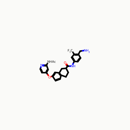 CC(=O)Nc1cc(Oc2ccc3c(c2)CC(C(=O)Nc2ccc(CN)c(C(F)(F)F)c2)CC3)ccn1